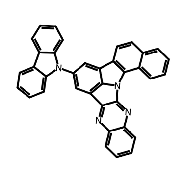 c1ccc2c(c1)ccc1c3cc(-n4c5ccccc5c5ccccc54)cc4c5nc6ccccc6nc5n(c21)c34